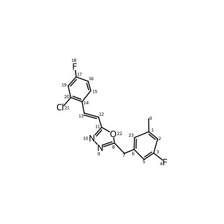 Cc1cc(F)cc(Cc2nnc(/C=C/c3ccc(F)cc3Cl)o2)c1